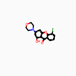 O=c1c2cccc(F)c2oc2cc(N3CCOCC3)cc(O)c12